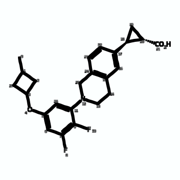 CC1CC(Oc2cc(F)c(F)c(N3CCc4cc([C@H]5C[C@@H]5C(=O)O)ccc4C3)c2)C1